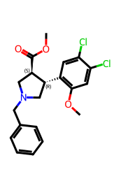 COC(=O)[C@@H]1CN(Cc2ccccc2)C[C@H]1c1cc(Cl)c(Cl)cc1OC